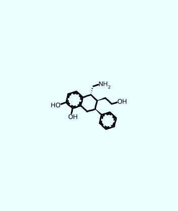 NC[C@H]1c2ccc(O)c(O)c2C[C@H](c2ccccc2)[C@@H]1CCO